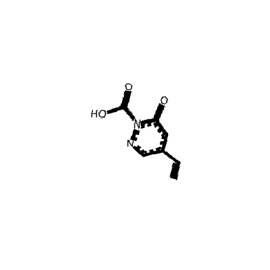 C=Cc1cnn(C(=O)O)c(=O)c1